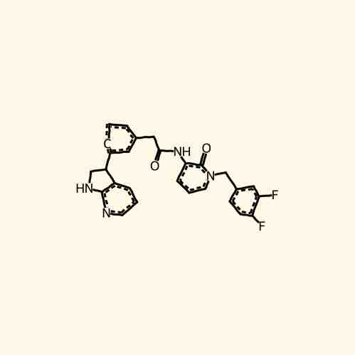 O=C(Cc1cccc(C2CNc3ncccc32)c1)Nc1cccn(Cc2ccc(F)c(F)c2)c1=O